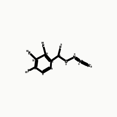 [N-]=[N+]=NOC(F)c1ccc(F)c(F)c1F